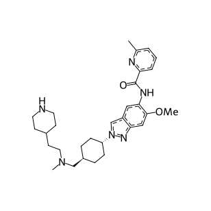 COc1cc2nn([C@H]3CC[C@H](CN(C)CCC4CCNCC4)CC3)cc2cc1NC(=O)c1cccc(C)n1